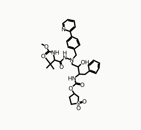 COC(=O)NC(C(=O)NN(Cc1ccc(-c2ccccn2)cc1)CC(O)C(Cc1ccccc1)NC(=O)OC1CCS(=O)(=O)C1)C(C)(C)C